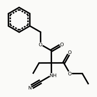 CCOC(=O)C(CC)(NC#N)C(=O)OCc1ccccc1